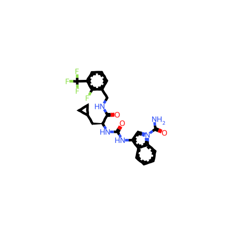 NC(=O)n1cc(NC(=O)N[C@@H](CC2CC2)C(=O)NCc2cccc(C(F)(F)F)c2F)c2ccccc21